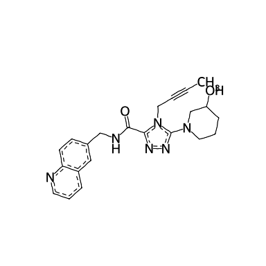 CC#CCn1c(C(=O)NCc2ccc3ncccc3c2)nnc1N1CCCC(O)C1